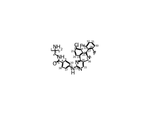 CC(C)(N)CNC(=O)c1ccc(Nc2ncc3c(n2)-c2ccc(Cl)cc2C(c2c(F)cccc2F)=NC3)cc1